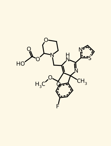 COC(=O)C1=C(CN2CCOCC2OC(=O)O)NC(c2nccs2)=NC1(C)c1ccc(F)cc1